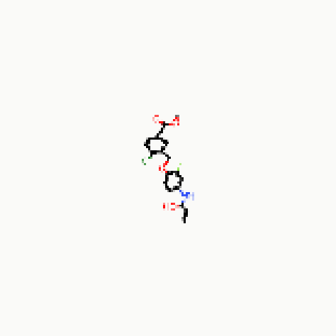 C=CC(O)Nc1ccc(OCc2cc(C(=O)OC)ccc2Cl)c(F)c1